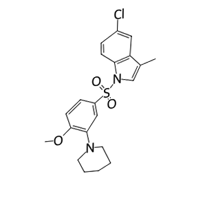 COc1ccc(S(=O)(=O)n2cc(C)c3cc(Cl)ccc32)cc1N1CCCCC1